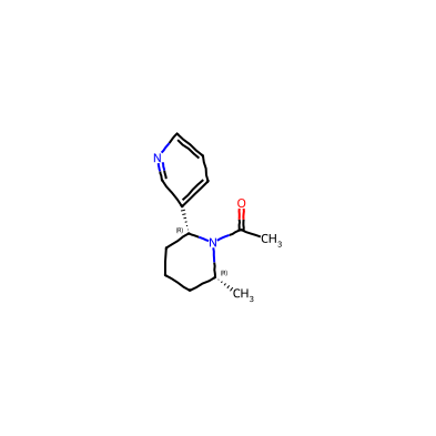 CC(=O)N1[C@H](C)CCC[C@@H]1c1cccnc1